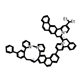 CCC(CC)c1cc[n+]2c(c1)-c1cc3c(ccc4ccccc43)cc1C/C2=C1/Cc2ccccc2-c2cc(-c3ccc4ccc5cc6c(cc5c4c3)-c3cccc[n+]3C[n+]3ccccc3-c3cc(-c4ccccc4)ccc3C/C=C/6)cc[n+]21